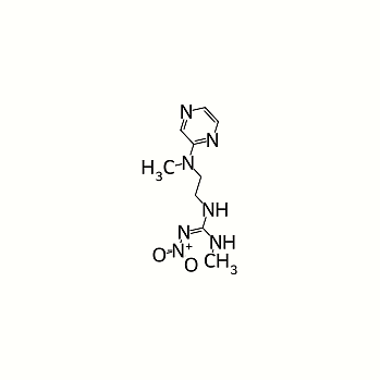 CNC(=N[N+](=O)[O-])NCCN(C)c1cnccn1